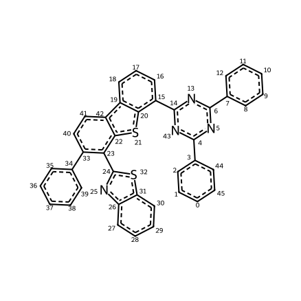 c1ccc(-c2nc(-c3ccccc3)nc(-c3cccc4c3sc3c(-c5nc6ccccc6s5)c(-c5ccccc5)ccc34)n2)cc1